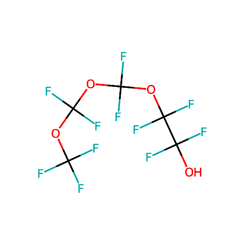 OC(F)(F)C(F)(F)OC(F)(F)OC(F)(F)OC(F)(F)F